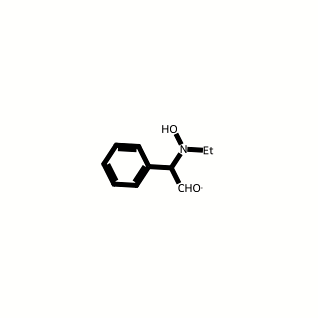 CCN(O)C([C]=O)c1ccccc1